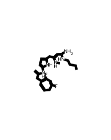 C=C(CC1=C(F)C=C(F)CC=C1)Nc1ccc(C/C(=C/C(N)NCCCC)NC)[nH]1